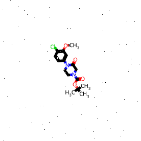 COc1cc(N2CCN(C(=O)OC(C)(C)C)CC2=O)ccc1Cl